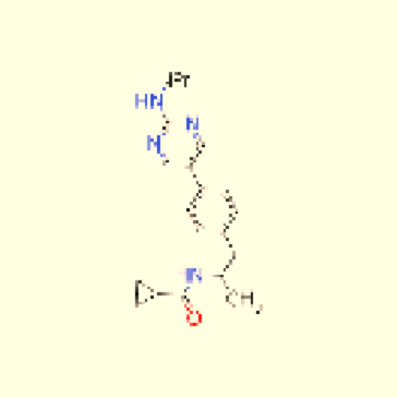 CC(C)Nc1ncc(-c2ccc(CC(C)NC(=O)C3CC3)cc2)cn1